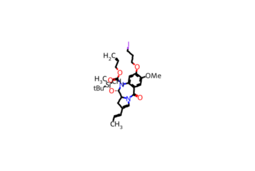 C=CCOC(=O)N1c2cc(OCCCI)c(OC)cc2C(=O)N2C=C(/C=C/C)CC2[C@@H]1O[Si](C)(C)C(C)(C)C